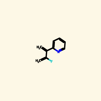 C=C(F)C(=C)c1ccccn1